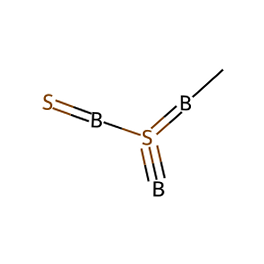 B#S(B=S)=BC